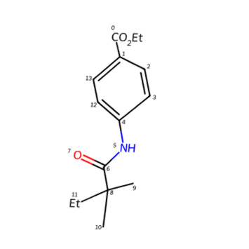 CCOC(=O)c1ccc(NC(=O)C(C)(C)CC)cc1